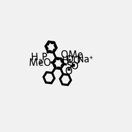 COc1c(-c2ccccc2P)c(OC)c(S(=O)(=O)[O-])c(C2CCCCC2)c1C1CCCCC1.O.[Na+]